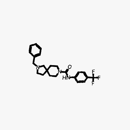 O=C(Nc1ccc(C(F)(F)F)cc1)N1CCC2(CCN(Cc3ccccc3)C2)CC1